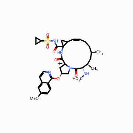 COc1ccc2c(O[C@@H]3C[C@H]4C(=O)NC5(C(=O)NS(=O)(=O)C6CC6)CC5/C=C\CC[C@@H](C)C[C@@H](C)[C@H](NC(=O)O)C(=O)N4C3)nccc2c1